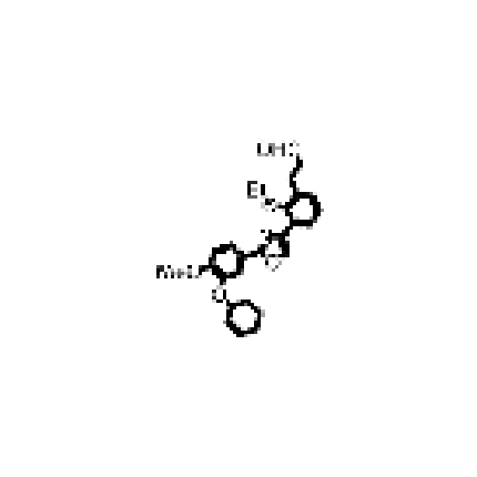 CCOc1c(CCC=O)cccc1-c1coc(-c2ccc(OC)c(OC3C=CCCC3)c2)n1